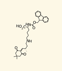 C[C@H](C=C1C(=O)CC(C)(C)CC1=O)CCNCCCCC(NC(=O)OCC1c2ccccc2-c2ccccc21)C(=O)O